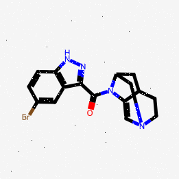 O=C(c1n[nH]c2ccc(Br)cc12)N1C2=CN3CCC2CC1C3